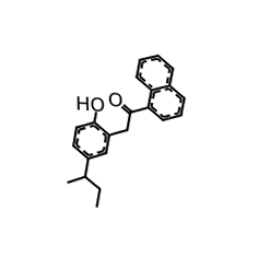 CCC(C)c1ccc(O)c(CC(=O)c2cccc3ccccc23)c1